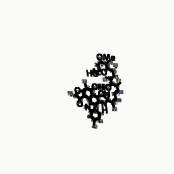 CO[C@@H](/C=C/O)[C@@H](C)[C@@H](OC(C)=O)[C@H](C)C[C@H](C)[C@@H](O)[C@@H](C)/C=C/C=C(/C)C(=O)Nc1c(O)c2c(O)c(C)c3c(c2c2nc4cc(C)ccn4c12)C(=O)[C@H](C)O3